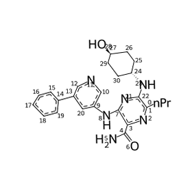 CCCc1nc(C(N)=O)c(Nc2cncc(-c3ccccc3)c2)nc1N[C@H]1CC[C@H](O)CC1